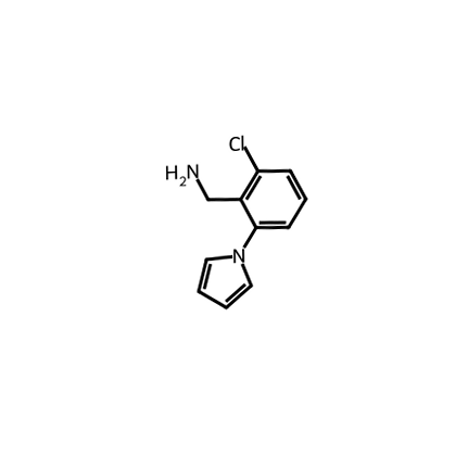 NCc1c(Cl)cccc1-n1cccc1